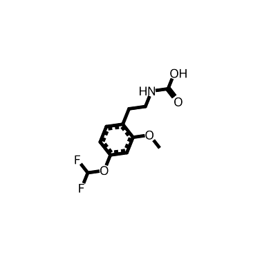 COc1cc(OC(F)F)ccc1CCNC(=O)O